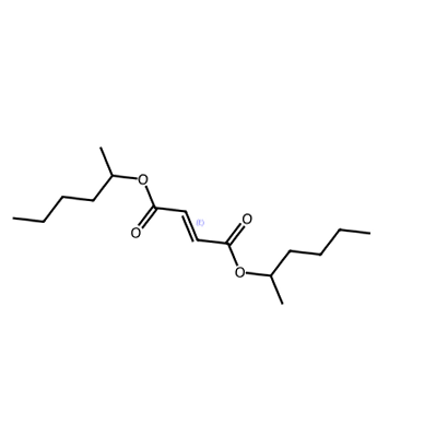 CCCCC(C)OC(=O)/C=C/C(=O)OC(C)CCCC